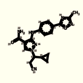 Cc1noc(-c2ccc(Nc3nn(C(CC#N)C4CC4)cc3C(N)=O)cc2)n1